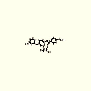 NCc1ccc(C(=O)Nc2ccc(Cc3cccc(Cl)c3)cn2)cn1.O=C(O)C(F)(F)F